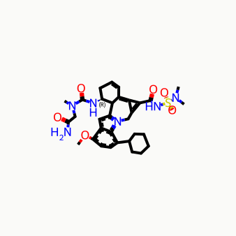 COc1ccc(C2CCCCC2)c2c1cc1n2CC2=C(C(=O)NS(=O)(=O)N(C)C)C2=C2C=CC[C@@H](NC(=O)N(C)CC(N)=O)C21